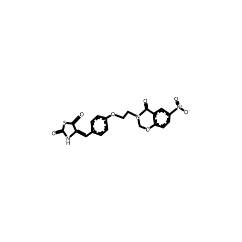 O=C1NC(=Cc2ccc(OCCN3COc4ccc([N+](=O)[O-])cc4C3=O)cc2)C(=O)S1